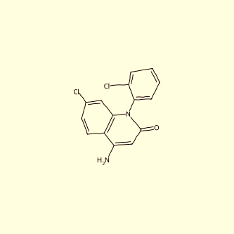 Nc1cc(=O)n(-c2ccccc2Cl)c2cc(Cl)ccc12